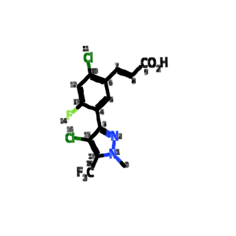 Cn1nc(-c2cc(C=CC(=O)O)c(Cl)cc2F)c(Cl)c1C(F)(F)F